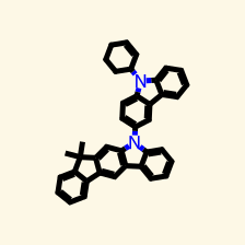 CC1(C)c2ccccc2-c2cc3c4ccccc4n(-c4ccc5c(c4)c4ccccc4n5C4C=CCCC4)c3cc21